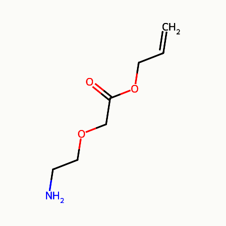 C=CCOC(=O)COCCN